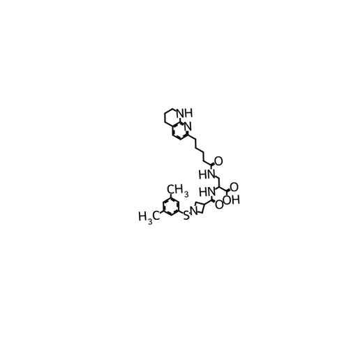 Cc1cc(C)cc(SN2CC(C(=O)NC(CNC(=O)CCCCc3ccc4c(n3)NCCC4)C(=O)O)C2)c1